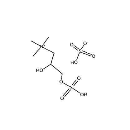 C[N+](C)(C)CC(O)COS(=O)(=O)O.O=S(=O)([O-])O